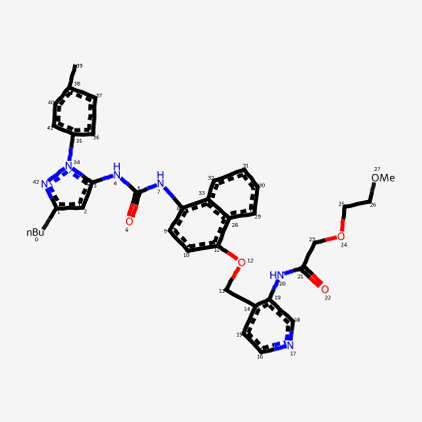 CCCCc1cc(NC(=O)Nc2ccc(OCc3ccncc3NC(=O)COCCOC)c3ccccc23)n(-c2ccc(C)cc2)n1